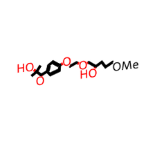 COCCCC(O)COCCOc1ccc(C(=O)C(C)(C)O)cc1